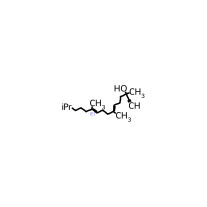 C#CC(C)(O)CCC=C(C)CC/C=C(\C)CCCC(C)C